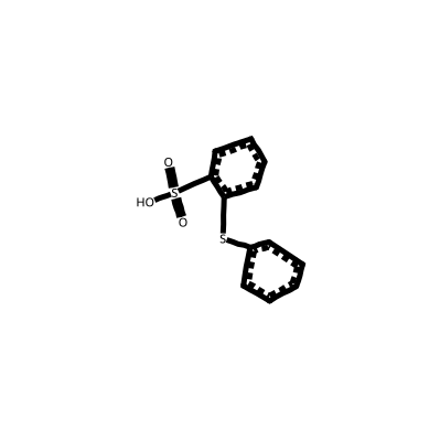 O=S(=O)(O)c1ccccc1Sc1ccccc1